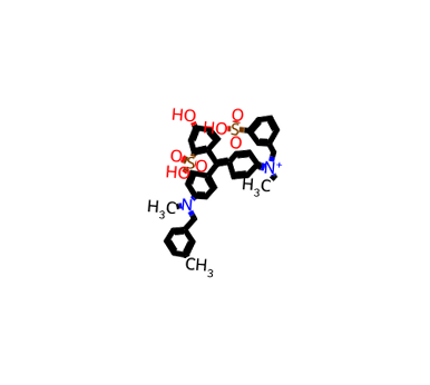 CC[N+](Cc1cccc(S(=O)(=O)O)c1)=C1C=CC(=C(c2ccc(N(C)Cc3cccc(C)c3)cc2)c2ccc(O)cc2S(=O)(=O)O)C=C1